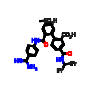 CC(C)C(NC(=O)c1ccc(-c2ccccc2C(=O)Nc2ccc(C(=N)N)cc2)c(C(=O)O)c1)C(C)C.CS(=O)(=O)O